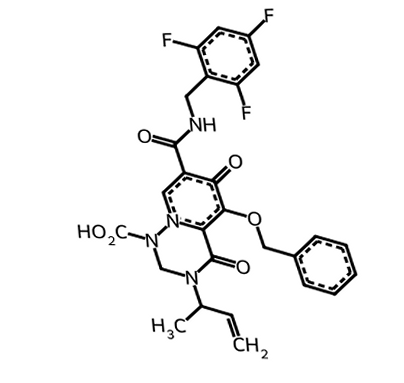 C=CC(C)N1CN(C(=O)O)n2cc(C(=O)NCc3c(F)cc(F)cc3F)c(=O)c(OCc3ccccc3)c2C1=O